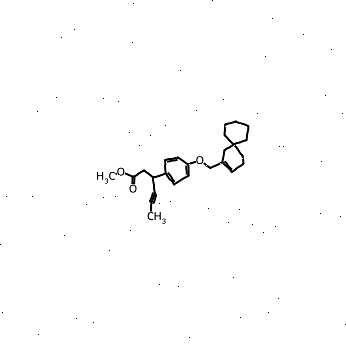 CC#CC(CC(=O)OC)c1ccc(OCC2=CCCC3(CCCCC3)C2)cc1